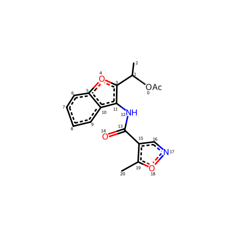 CC(=O)OC(C)c1oc2ccccc2c1NC(=O)c1cnoc1C